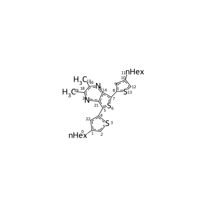 CCCCCCc1csc(-c2sc(-c3cc(CCCCCC)cs3)c3nc(C)c(C)nc23)c1